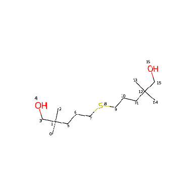 CC(C)(CO)CCCSCCCC(C)(C)CO